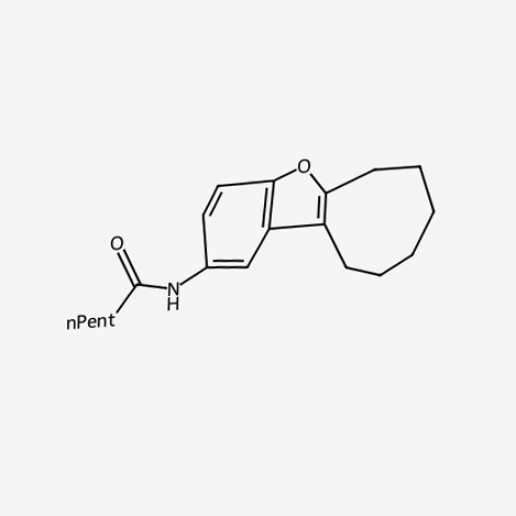 CCCCCC(=O)Nc1ccc2oc3c(c2c1)CCCCCC3